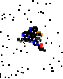 C=CC(=O)N1CCN(c2nc(=O)n(-c3c(C)ccnc3C(C)C)c3c4c(c(C)cc23)-c2c(P)cccc2N=CC4)[C@@H](C)C1